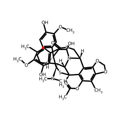 COc1cc2c(cc1O)CCN[C@]21CS[C@H]2c3c(OC(C)=O)c(C)c4c(c3[C@@H](COC1=O)N1[C@H]2[C@H](N(C)C)c2c(cc(C)c(OC)c2O)C[C@H]1O)OCO4